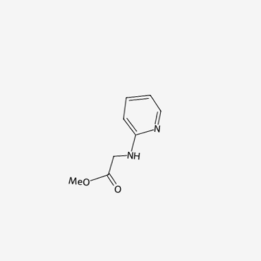 COC(=O)CNc1ccccn1